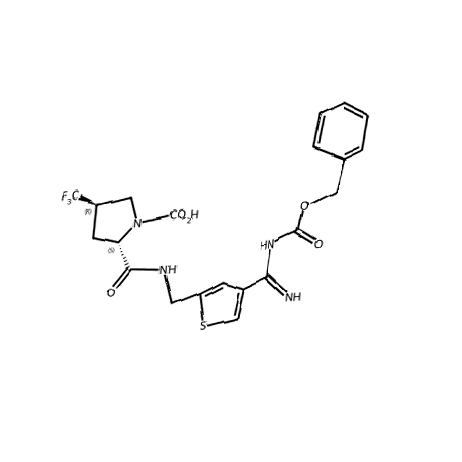 N=C(NC(=O)OCc1ccccc1)c1csc(CNC(=O)[C@@H]2C[C@@H](C(F)(F)F)CN2C(=O)O)c1